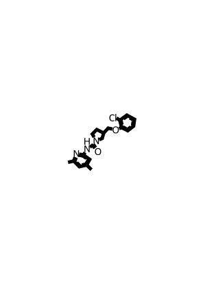 Cc1cc(C)nc(NC(=O)N2CCC(COc3ccccc3Cl)C2)c1